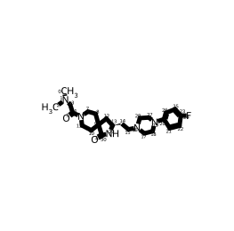 CN(C)CC(=O)N1CCC2(CC1)C[C@H](CCN1CCN(c3ccc(F)cc3)CC1)NC2=O